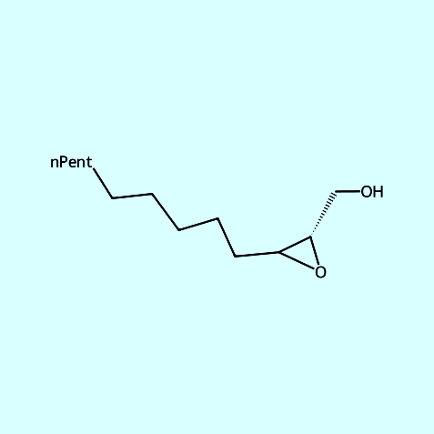 CCCCCCCCCCC1O[C@H]1CO